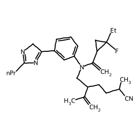 C=C(C)C(CCC(C)C#N)CN(C(=C)C1CC1(F)CC)c1cccc(C2=NC(CCC)=NC2)c1